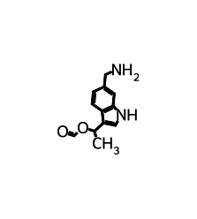 CC(OC=O)c1c[nH]c2cc(CN)ccc12